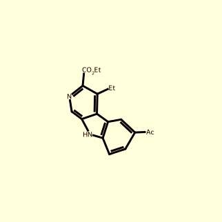 CCOC(=O)c1ncc2[nH]c3ccc(C(C)=O)cc3c2c1CC